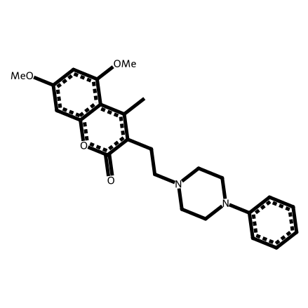 COc1cc(OC)c2c(C)c(CCN3CCN(c4ccccc4)CC3)c(=O)oc2c1